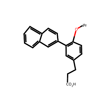 CC(C)Oc1ccc(CCC(=O)O)cc1-c1ccc2ccccc2c1